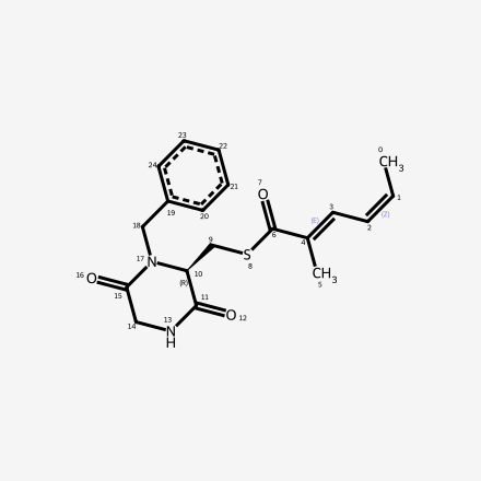 C/C=C\C=C(/C)C(=O)SC[C@H]1C(=O)NCC(=O)N1Cc1ccccc1